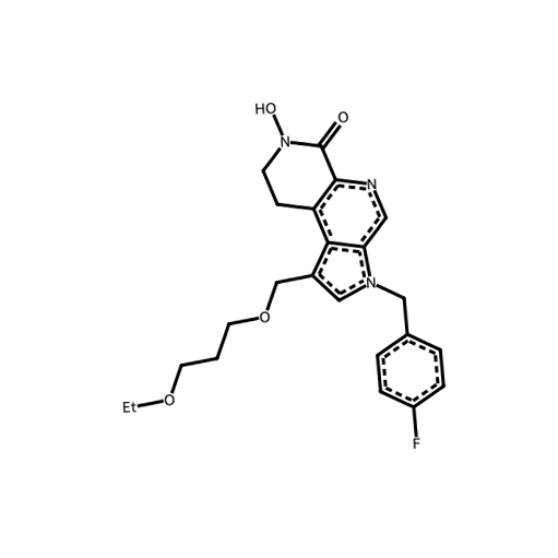 CCOCCCOCc1cn(Cc2ccc(F)cc2)c2cnc3c(c12)CCN(O)C3=O